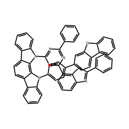 c1ccc(-c2nc(-c3cccc4nc(-c5ccccc5)sc34)nc(-n3c4ccccc4c4ccc5c6ccccc6n(-c6ccc(-c7ccc8c(c7)oc7ccccc78)cc6)c5c43)n2)cc1